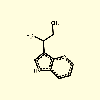 CCC(C)c1c[nH]c2cccnc12